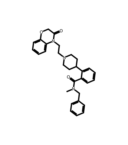 CN(Cc1ccccc1)C(=O)c1ccccc1C1CCN(CCN2C(=O)COc3ccccc32)CC1